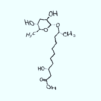 C[C@H](CCCCCC[C@@H](O)CC(=O)O)O[C@@H]1O[C@@H](C)[C@H](O)C[C@H]1O